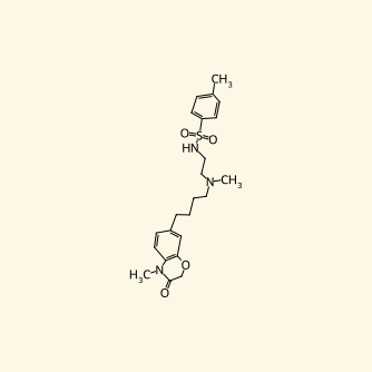 Cc1ccc(S(=O)(=O)NCCN(C)CCCCc2ccc3c(c2)OCC(=O)N3C)cc1